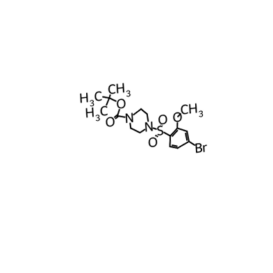 COc1cc(Br)ccc1S(=O)(=O)N1CCN(C(=O)OC(C)(C)C)CC1